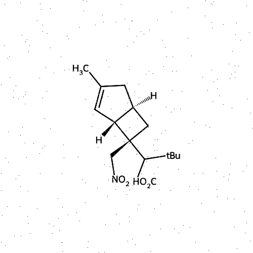 CC1=C[C@@H]2[C@@H](C1)C[C@]2(C[N+](=O)[O-])C(C(=O)O)C(C)(C)C